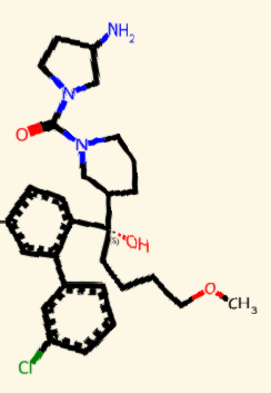 COCCCC[C@@](O)(c1ccccc1-c1cccc(Cl)c1)C1CCCN(C(=O)N2CCC(N)C2)C1